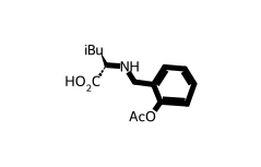 CC[C@H](C)[C@H](NCc1ccccc1OC(C)=O)C(=O)O